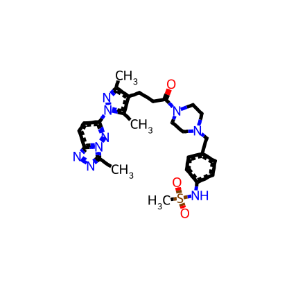 Cc1nn(-c2ccc3nnc(C)n3n2)c(C)c1CCC(=O)N1CCN(Cc2ccc(NS(C)(=O)=O)cc2)CC1